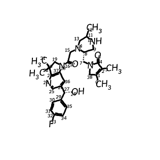 CC1=C(C)C(=O)N(C[C@H]2CNC(C)CN2CC(=O)N2CC(C)(C)c3ncc([C@H](O)c4ccc(F)cc4)cc32)C1